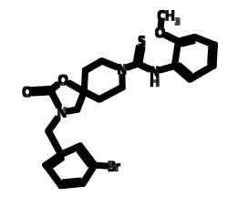 COc1ccccc1NC(=S)N1CCC2(CC1)CN(Cc1cccc(Br)c1)C(=O)O2